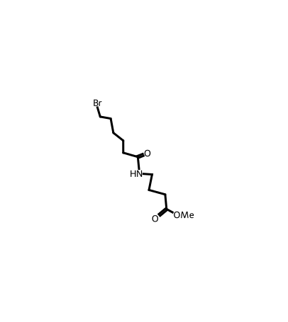 COC(=O)CCCNC(=O)CCCCCBr